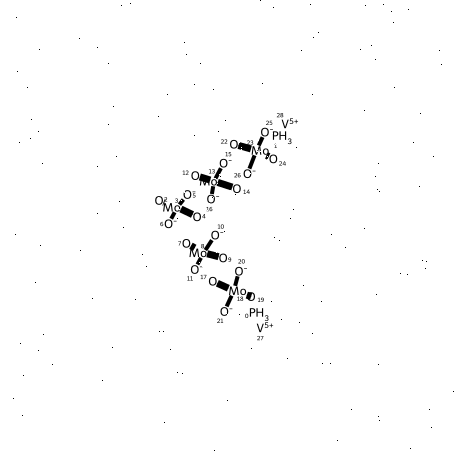 P.P.[O]=[Mo](=[O])([O-])[O-].[O]=[Mo](=[O])([O-])[O-].[O]=[Mo](=[O])([O-])[O-].[O]=[Mo](=[O])([O-])[O-].[O]=[Mo](=[O])([O-])[O-].[V+5].[V+5]